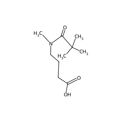 CN(CCCC(=O)O)C(=O)C(C)(C)C